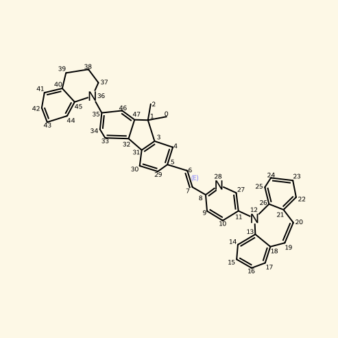 CC1(C)c2cc(/C=C/c3ccc(N4c5ccccc5C=Cc5ccccc54)cn3)ccc2-c2ccc(N3CCCc4ccccc43)cc21